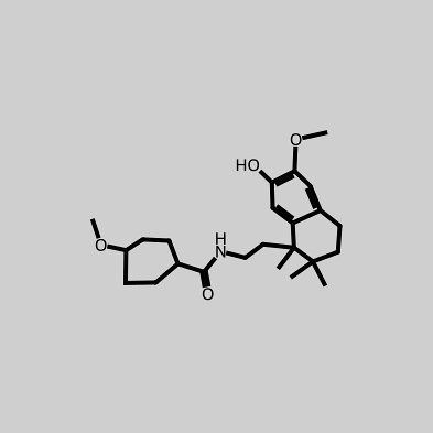 COc1cc2c(cc1O)C(C)(CCNC(=O)C1CCC(OC)CC1)C(C)(C)CC2